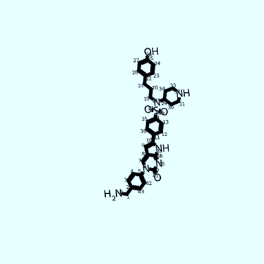 NCc1ccc(-n2cc3cc(-c4ccc(S(=O)(=O)N(CCCc5ccc(O)cc5)C5CCNCC5)cc4)[nH]c3nc2=O)cc1